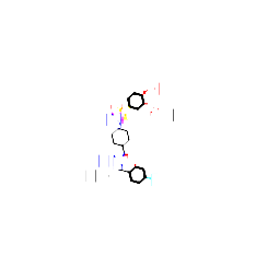 COc1cc(S(=O)(=O)NC2CCC(C(=O)N[C@H](C)c3ccc(F)cc3)CC2)ccc1O